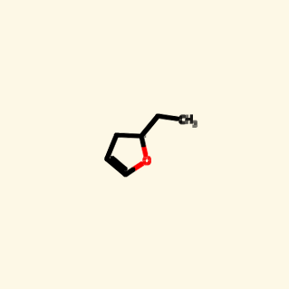 CC[C]1CC=CO1